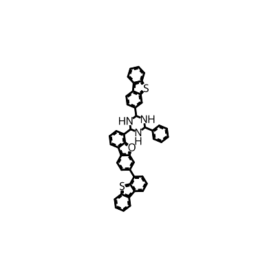 c1ccc(C2NC(c3ccc4c(c3)sc3ccccc34)NC(c3cccc4c3oc3cc(-c5cccc6c5sc5ccccc56)ccc34)N2)cc1